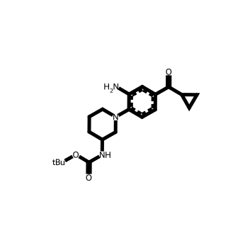 CC(C)(C)OC(=O)NC1CCCN(c2ccc(C(=O)C3CC3)cc2N)C1